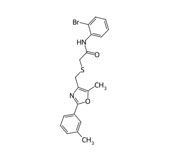 Cc1cccc(-c2nc(CSCC(=O)Nc3ccccc3Br)c(C)o2)c1